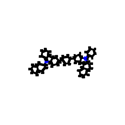 c1ccc(-n2c3ccc(-c4ccc(-c5ccc6c(c5)c5ccccc5n6-c5ccc6ccccc6c5)cc4)cc3c3c4ccccc4ccc32)cc1